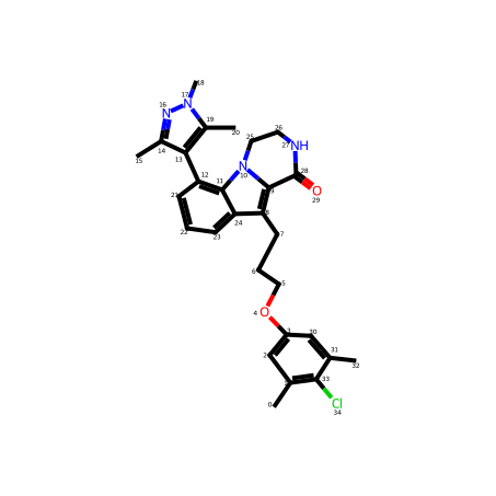 Cc1cc(OCCCc2c3n(c4c(-c5c(C)nn(C)c5C)cccc24)CCNC3=O)cc(C)c1Cl